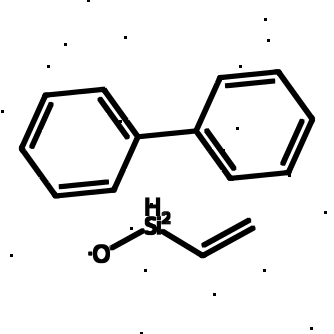 C=C[SiH2][O].c1ccc(-c2ccccc2)cc1